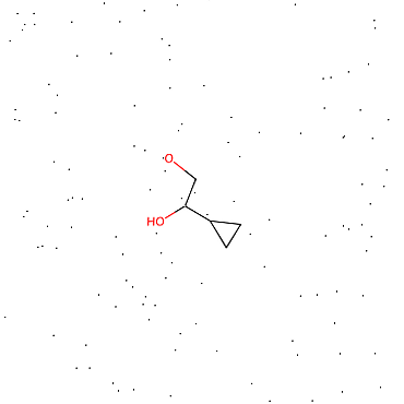 [O]CC(O)C1CC1